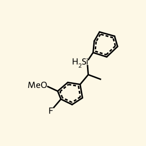 COc1cc(C(C)[SiH2]c2ccccc2)ccc1F